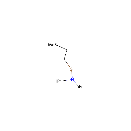 CSCCSN(C(C)C)C(C)C